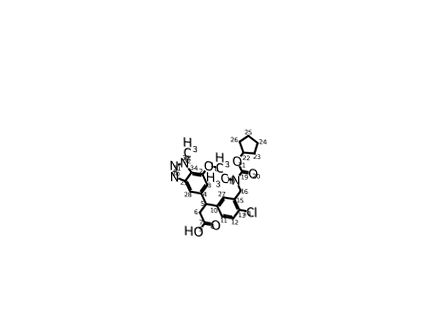 COc1cc(C(CC(=O)O)c2ccc(Cl)c(CN(C)C(=O)OC3CCCC3)c2)cc2nnn(C)c12